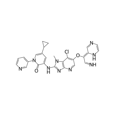 Cn1c(Nc2cc(C3CC3)cn(-c3cccnc3)c2=O)nc2ncc(O/C(C=N)=C3\C=NC=CN3)c(Cl)c21